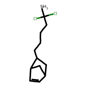 [SiH3]C(Cl)(Cl)CCCCC1CC2C=CC1C2